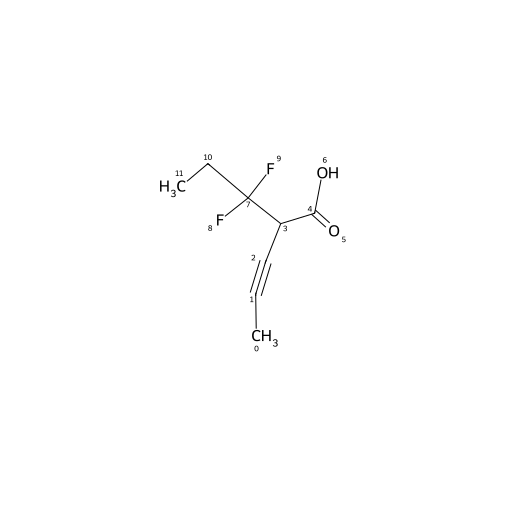 CC#CC(C(=O)O)C(F)(F)CC